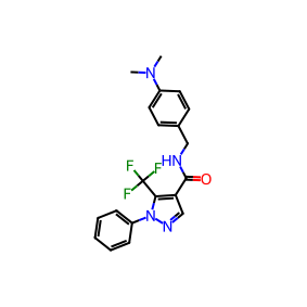 CN(C)c1ccc(CNC(=O)c2cnn(-c3ccccc3)c2C(F)(F)F)cc1